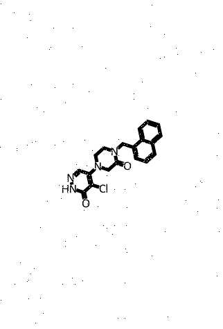 O=C1CN(c2cn[nH]c(=O)c2Cl)CCN1Cc1cccc2ccccc12